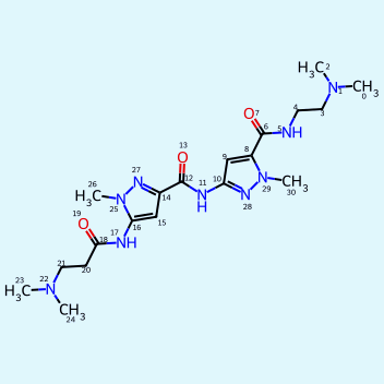 CN(C)CCNC(=O)c1cc(NC(=O)c2cc(NC(=O)CCN(C)C)n(C)n2)nn1C